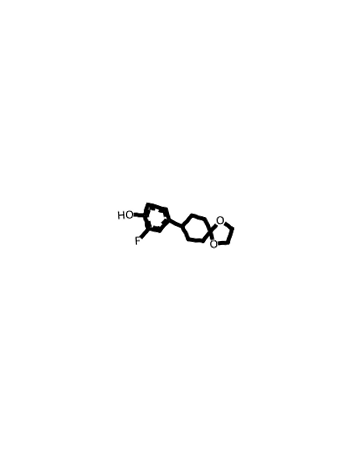 Oc1ccc(C2CCC3(CC2)OCCO3)cc1F